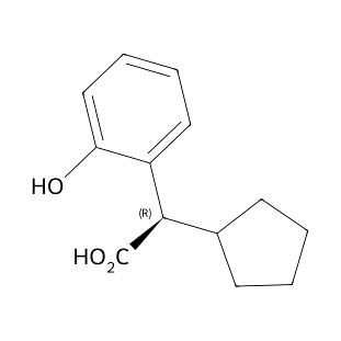 O=C(O)[C@@H](c1ccccc1O)C1CCCC1